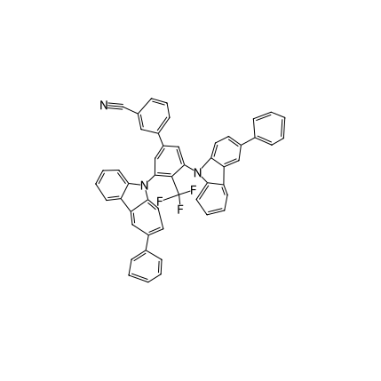 N#Cc1cccc(-c2cc(-n3c4ccccc4c4cc(-c5ccccc5)ccc43)c(C(F)(F)F)c(-n3c4ccccc4c4cc(-c5ccccc5)ccc43)c2)c1